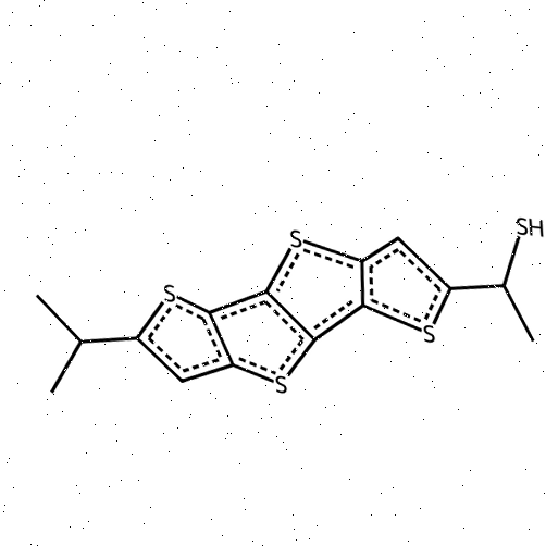 CC(C)c1cc2sc3c4sc(C(C)S)cc4sc3c2s1